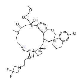 COC1OC1[C@@]1(O)CC(=O)N(C)CC/C=C/[C@H](OCCN2CC(F)(F)C2)[C@@H]2CC[C@H]2CN2C[C@@]3(CCCc4cc(Cl)ccc43)COc3ccc1cc32